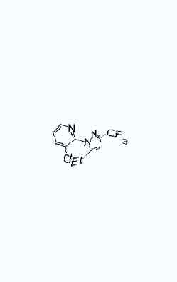 CCc1cc(C(F)(F)F)nn1-c1ncccc1Cl